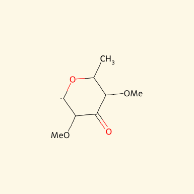 COC1[CH]OC(C)C(OC)C1=O